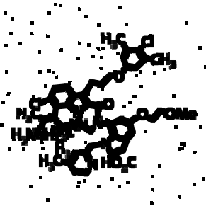 COCCOc1cc(N2C[C@@H](C)n3c(c(CCCOc4cc(C)c(Cl)c(C)c4)c4ccc(Cl)c(/C(C(C)=N)=C(\C)NN)c43)C2=O)c2c(c1)cc(C(=O)O)n2Cc1cc(C)ccn1